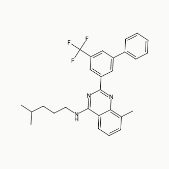 Cc1cccc2c(NCCCC(C)C)nc(-c3cc(-c4ccccc4)cc(C(F)(F)F)c3)nc12